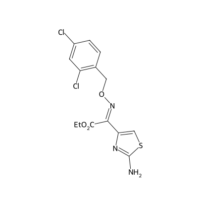 CCOC(=O)/C(=N\OCc1ccc(Cl)cc1Cl)c1csc(N)n1